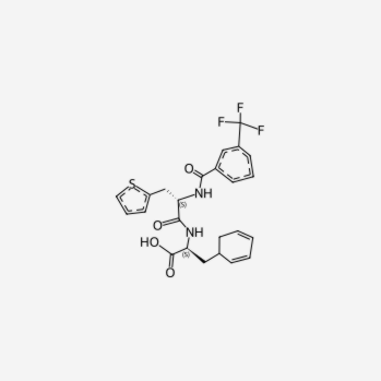 O=C(N[C@@H](Cc1cccs1)C(=O)N[C@@H](CC1C=CC=CC1)C(=O)O)c1cccc(C(F)(F)F)c1